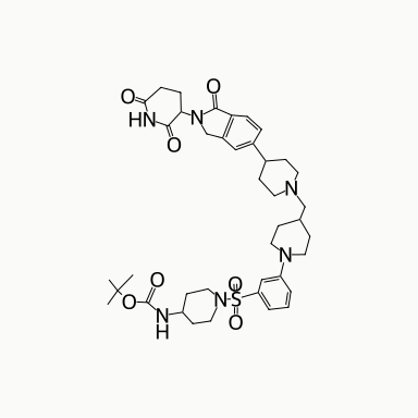 CC(C)(C)OC(=O)NC1CCN(S(=O)(=O)c2cccc(N3CCC(CN4CCC(c5ccc6c(c5)CN(C5CCC(=O)NC5=O)C6=O)CC4)CC3)c2)CC1